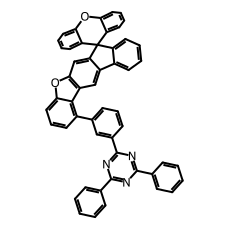 c1ccc(-c2nc(-c3ccccc3)nc(-c3cccc(-c4cccc5oc6cc7c(cc6c45)-c4ccccc4C74c5ccccc5Oc5ccccc54)c3)n2)cc1